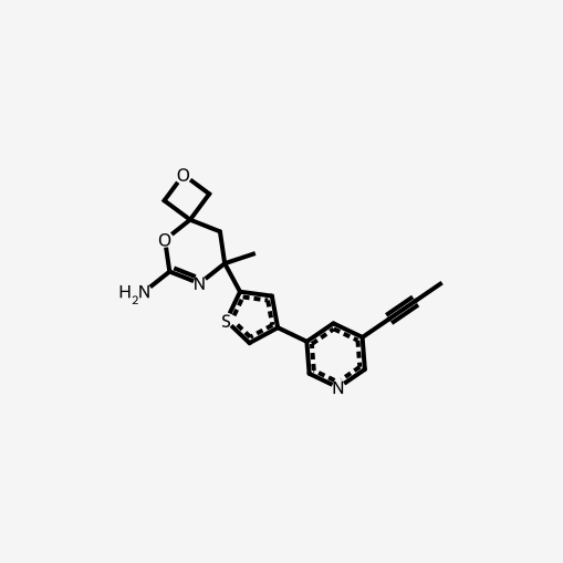 CC#Cc1cncc(-c2csc(C3(C)CC4(COC4)OC(N)=N3)c2)c1